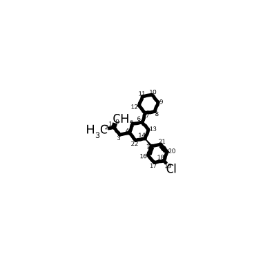 C=C(C)CC1CC(C2CCCCC2)C[C@@H](C2=CCC(Cl)C=C2)C1